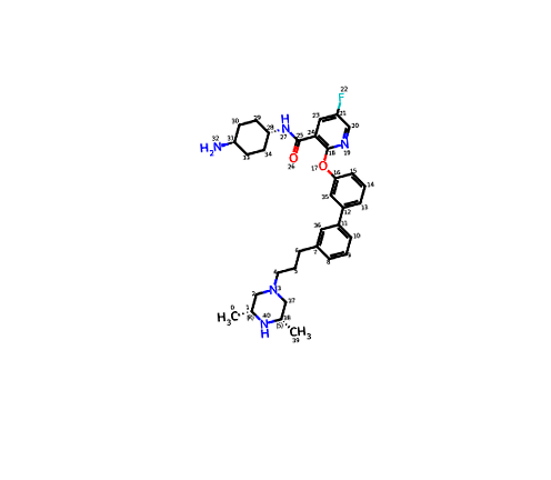 C[C@@H]1CN(CCCc2cccc(-c3cccc(Oc4ncc(F)cc4C(=O)N[C@H]4CC[C@H](N)CC4)c3)c2)C[C@H](C)N1